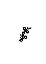 C=CCCC(=C)c1c2ccccc2c(-c2ccc3oc4c5sc6ccccc6c5c5ccccc5c4c3c2)c2ccccc12